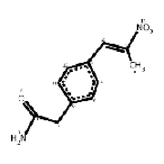 CC(=Cc1ccc(CC(N)=O)cc1)[N+](=O)[O-]